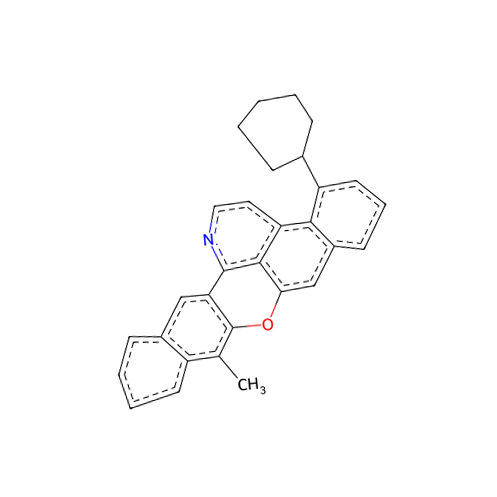 Cc1c2c(cc3ccccc13)-c1nccc3c1c(cc1cccc(C4CCCCC4)c13)O2